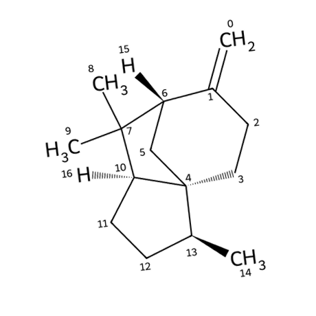 C=C1CC[C@@]23C[C@@H]1C(C)(C)[C@@H]2CC[C@@H]3C